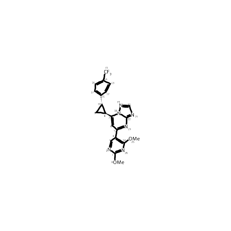 COc1ncc(-c2cc([C@H]3C[C@@H]3c3ccc(C(F)(F)F)cc3)n3ncnc3n2)c(OC)n1